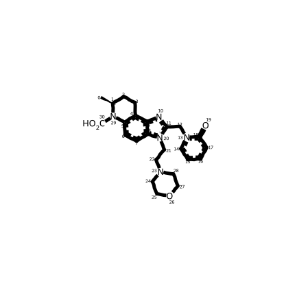 C[C@H]1CCc2c(ccc3c2nc(Cn2ccccc2=O)n3CCN2CCOCC2)N1C(=O)O